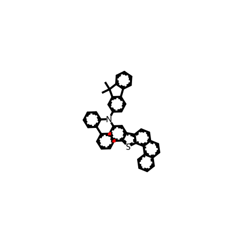 CC1(C)c2ccccc2-c2ccc(N(c3ccc4sc5c(ccc6ccc7ccccc7c65)c4c3)c3ccccc3-c3ccccc3)cc21